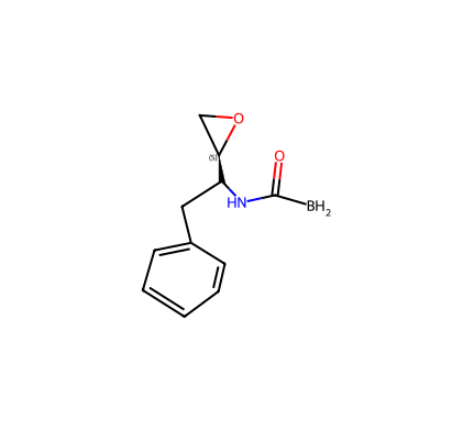 BC(=O)NC(Cc1ccccc1)[C@H]1CO1